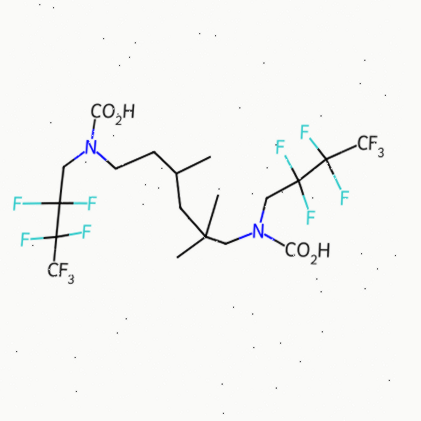 CC(CCN(CC(F)(F)C(F)(F)C(F)(F)F)C(=O)O)CC(C)(C)CN(CC(F)(F)C(F)(F)C(F)(F)F)C(=O)O